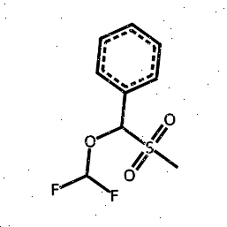 CS(=O)(=O)C(OC(F)F)c1ccccc1